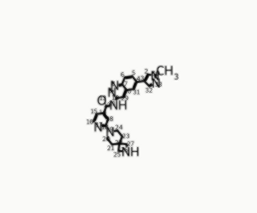 Cn1cc(-c2ccc3nnc(NC(=O)c4ccnc(N5CCC6(CC5)CNC6)c4)cc3c2)cn1